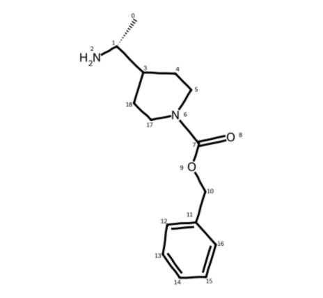 C[C@@H](N)C1CCN(C(=O)OCc2ccccc2)CC1